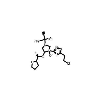 C#CC(CCC)(CCC)N1CC(OC(=O)C2CCCO2)[N+]([O-])(c2nnc(CCCl)s2)C1